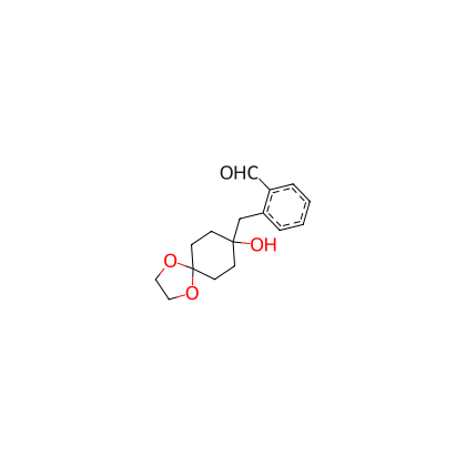 O=Cc1ccccc1CC1(O)CCC2(CC1)OCCO2